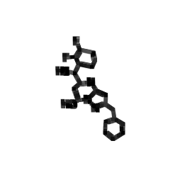 Oc1cc(C(S)c2cccc(F)c2F)nc2cc(Cc3ccccc3)nn12